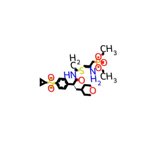 C=C(NC(=O)[C@H](CC1CCOCC1)c1ccc(S(=O)(=O)C2CC2)cc1)S/C=C(\N)CP(=O)(OCC)OCC